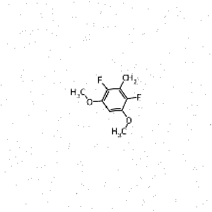 [CH2]c1c(F)c(OC)cc(OC)c1F